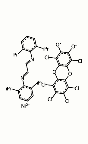 CC(C)c1cccc(C(C)C)c1N=CC=Nc1c(C(C)C)cccc1C(C)C.[Ni+2].[O-]c1c([O-])c(Cl)c2c(c1Cl)Oc1c(Cl)c(Cl)c(Cl)c(Cl)c1O2